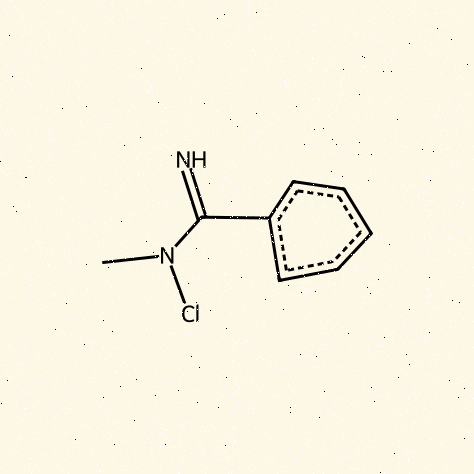 CN(Cl)C(=N)c1ccccc1